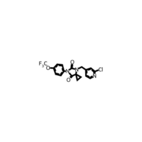 O=C1N(c2ccc(OC(F)(F)F)cc2)C(=O)C2(CC2)N1Cc1ccnc(Cl)c1